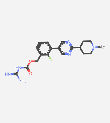 CC(=O)N1CCC(c2ncc(-c3cc#cc(COC(=O)NC(=N)N)c3F)cn2)CC1